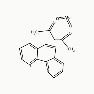 CC(=O)CC(C)=O.[O]=[Mo]=[O].c1cnc2c(c1)ccc1cccnc12